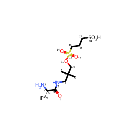 CC(C)[C@H](N)C(=O)NCC(C)(C)COS(=O)(=O)CCCS(=O)(=O)O